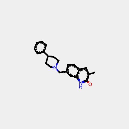 Cc1cc2ccc(CN3CCC(c4ccccc4)CC3)cc2[nH]c1=O